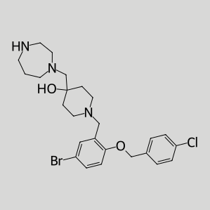 OC1(CN2CCCNCC2)CCN(Cc2cc(Br)ccc2OCc2ccc(Cl)cc2)CC1